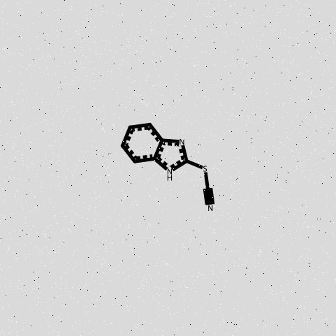 N#CSc1nc2ccccc2[nH]1